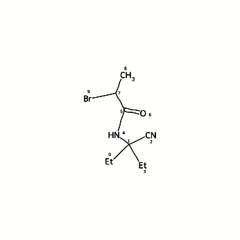 CCC(C#N)(CC)NC(=O)C(C)Br